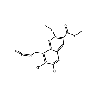 COC(=O)c1cc2cc(Cl)c(Cl)c(CN=[N+]=[N-])c2nc1OC